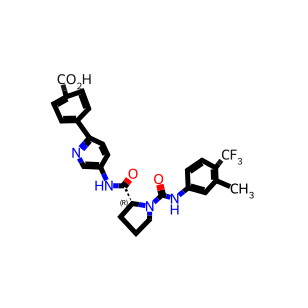 Cc1cc(NC(=O)N2CCC[C@@H]2C(=O)Nc2ccc(-c3ccc(C(=O)O)cc3)nc2)ccc1C(F)(F)F